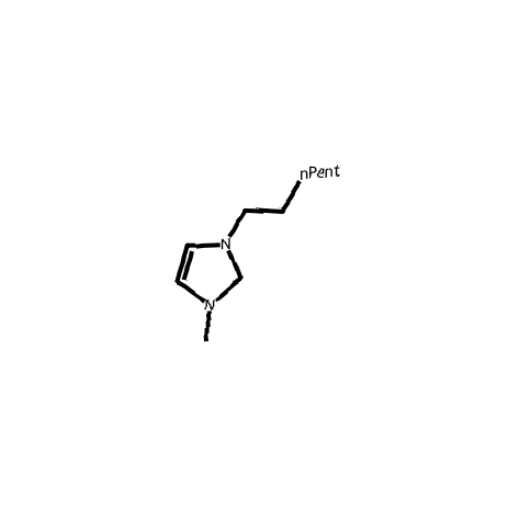 CCCCCCCN1C=CN(C)C1